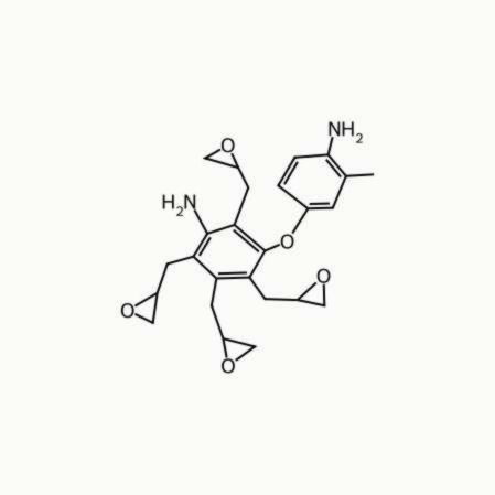 Cc1cc(Oc2c(CC3CO3)c(N)c(CC3CO3)c(CC3CO3)c2CC2CO2)ccc1N